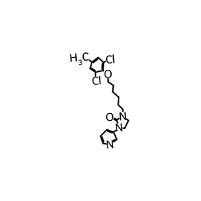 Cc1cc(Cl)c(OCCCCCCN2CCN(c3cccnc3)C2=O)c(Cl)c1